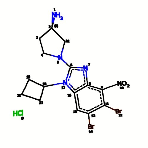 Cl.N[C@@H]1CCN(c2nc3c([N+](=O)[O-])c(Br)c(Br)cc3n2C2CCC2)C1